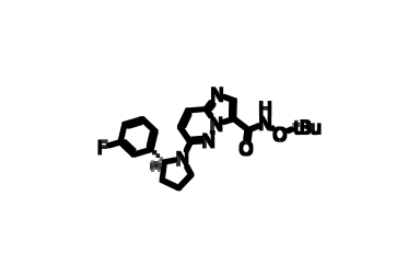 CC(C)(C)ONC(=O)c1cnc2ccc(N3CCC[C@@H]3c3cccc(F)c3)nn12